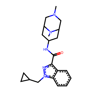 CN1CC2CC(NC(=O)c3nn(CC4CC4)c4ccccc34)CC(C1)N2C